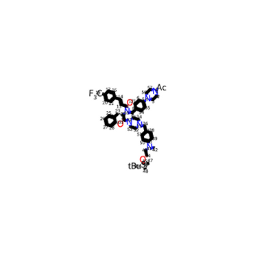 CC(=O)N1CCN(c2ccc(CN(C(=O)C=Cc3ccc(C(F)(F)F)cc3)[C@@H](Cc3ccccc3)C(=O)N3CCN(Cc4ccc(N(C)CCO[Si](C)(C)C(C)(C)C)cc4)CC3)cc2)CC1